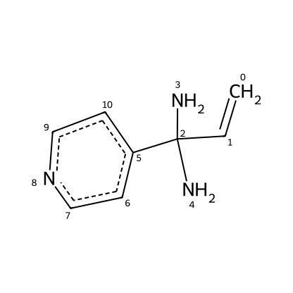 C=CC(N)(N)c1ccncc1